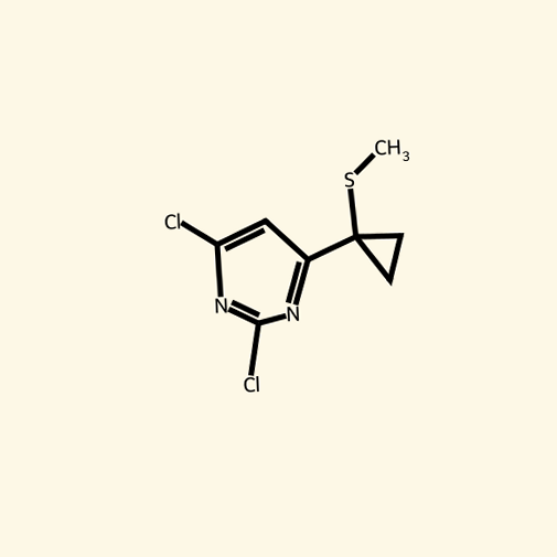 CSC1(c2cc(Cl)nc(Cl)n2)CC1